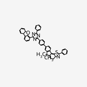 CC1(C)C2=CCC3N=C(c4ccccc4)SC3=C2c2ccc(-c3ccc(-c4nc(-c5ccccc5)nc(-c5cccc6c5OC5C=CC=CC65)n4)cc3)cc21